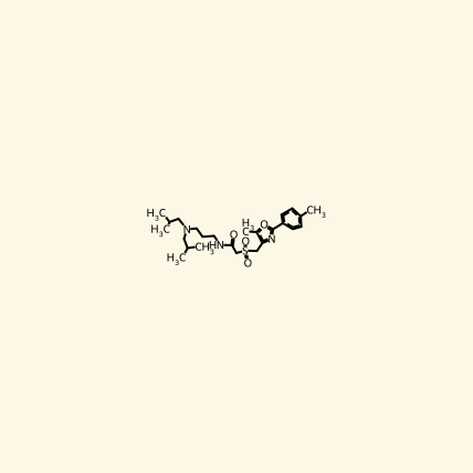 Cc1ccc(-c2nc(CS(=O)(=O)CC(=O)NCCCN(CC(C)C)CC(C)C)c(C)o2)cc1